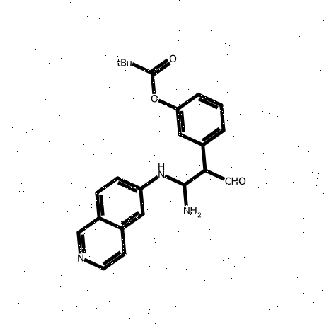 CC(C)(C)C(=O)Oc1cccc(C(C=O)C(N)Nc2ccc3cnccc3c2)c1